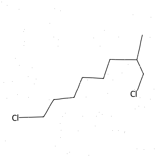 CC(CCl)CCCCCCCl